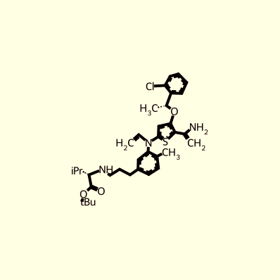 C=CN(c1cc(O[C@H](C)c2ccccc2Cl)c(C(=C)N)s1)c1cc(CCCN[C@H](C(=O)OC(C)(C)C)C(C)C)ccc1C